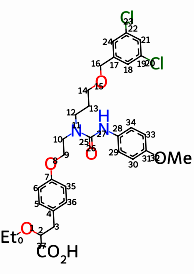 CCOC(Cc1ccc(OCCN(CCCOCc2cc(Cl)cc(Cl)c2)C(=O)Nc2ccc(OC)cc2)cc1)C(=O)O